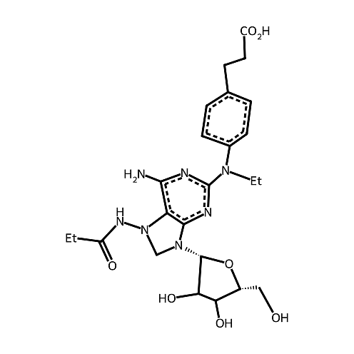 CCC(=O)NN1CN([C@@H]2O[C@H](CO)C(O)C2O)c2nc(N(CC)c3ccc(CCC(=O)O)cc3)nc(N)c21